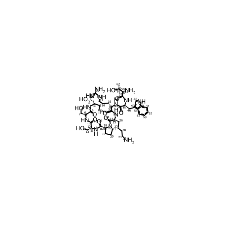 CC(C)C[C@H](NC(=O)[C@H](CO)NC(=O)[C@H](CO)NC(=O)[C@@H]1CCCN1C(=O)[C@H](CCCCN)NC(=O)[C@H](CCCNC(=N)N)NC(=O)[C@H](Cc1c[nH]c2ccccc12)NC(=O)[C@@H](N)[C@@H](C)O)C(=O)O